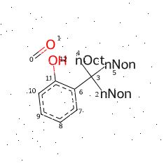 C=O.CCCCCCCCCC(CCCCCCCC)(CCCCCCCCC)c1ccccc1O